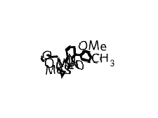 COc1cc(C)cc(OC)c1-c1cccc2c(N(CC3CC3)CC3OCCO3)c(SC)nn12